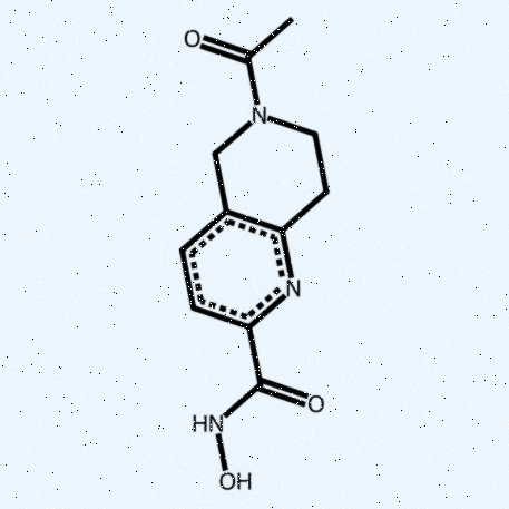 CC(=O)N1CCc2nc(C(=O)NO)ccc2C1